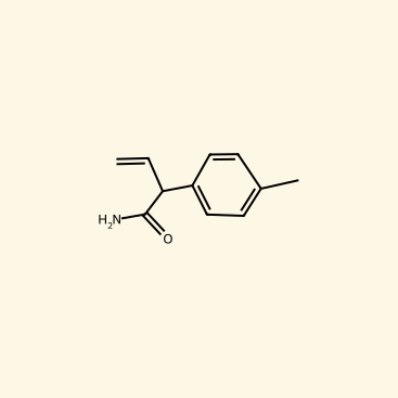 C=CC(C(N)=O)c1ccc(C)cc1